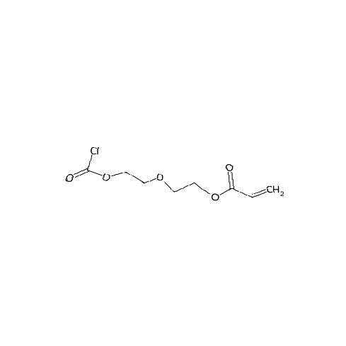 C=CC(=O)OCCOCCOC(=O)Cl